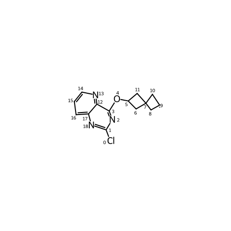 Clc1nc(OC2CC3(C[CH]C3)C2)c2ncccc2n1